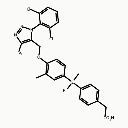 CCS(C)(c1ccc(CC(=O)O)cc1)c1ccc(OCc2c(C(C)C)nnn2-c2c(Cl)cccc2Cl)c(C)c1